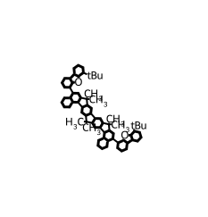 CC(C)(C)c1cccc2c1oc1c(-c3cc4c(c5ccccc35)-c3cc5c(cc3C4(C)C)-c3cc4c(cc3C5(C)C)-c3c(cc(-c5cccc6c5oc5c(C(C)(C)C)cccc56)c5ccccc35)C4(C)C)cccc12